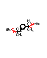 CC(C)(C)OOC(C)(C)Cc1cccc(C(C)(C)OOC(C)(C)C)c1